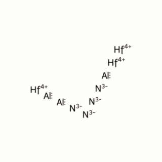 [Al].[Al].[Al].[Hf+4].[Hf+4].[Hf+4].[N-3].[N-3].[N-3].[N-3]